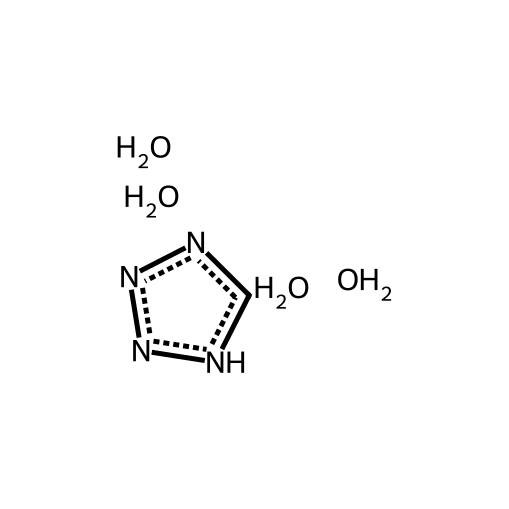 O.O.O.O.c1nnn[nH]1